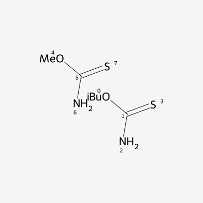 CC(C)COC(N)=S.COC(N)=S